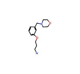 [N]CCCOc1cccc(CN2CCOCC2)c1